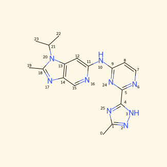 Cc1n[nH]c(-c2nccc(Nc3cc4c(cn3)nc(C)n4C(C)C)n2)n1